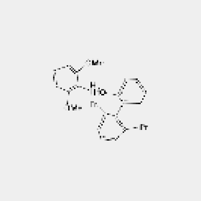 CC(C)c1cccc(C(C)C)c1-c1ccccc1O.COc1cccc(OC)c1P